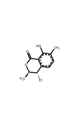 CC[C@H]1c2ccc(C)c(O)c2C(=O)O[C@@H]1C